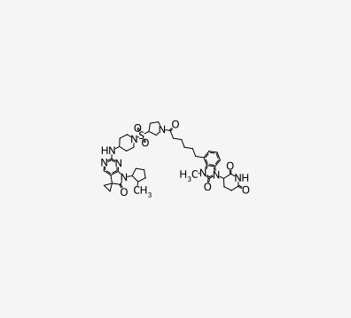 CC1CCCC1N1C(=O)C2(CC2)c2cnc(NC3CCN(S(=O)(=O)C4CCN(C(=O)CCCCCc5cccc6c5n(C)c(=O)n6C5CCC(=O)NC5=O)C4)CC3)nc21